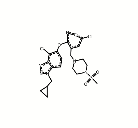 CS(=O)(=O)N1CCN(Cc2cc(Cl)cnc2Oc2ccc3c(nnn3CC3CC3)c2Cl)CC1